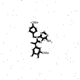 COc1ccc(Cn2c(C(C)c3cc(C)c(C)c(OC)c3)nc3c(N)ncnc32)cc1